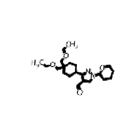 CCOCC1(COCC)CCC(c2nn(C3CCCCO3)cc2C=O)CC1